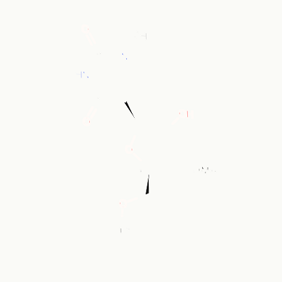 COC1C(O)[C@H](c2cn(C)c(=O)[nH]c2=O)O[C@@H]1COC(C)C